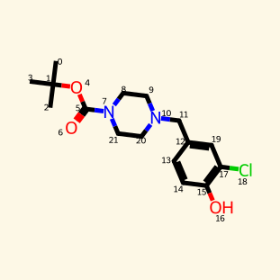 CC(C)(C)OC(=O)N1CCN(Cc2ccc(O)c(Cl)c2)CC1